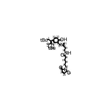 CC(C)(C)Cc1c(SC(C)(C)C)[nH]c2c(CN3CC3CCNC(=O)CCCCCN3C(=O)C=CC3=O)c(O)ccc12